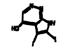 Oc1cnnc2[nH]c(I)c(I)c12